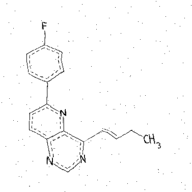 CCC=Cc1ncnc2ccc(-c3ccc(F)cc3)nc12